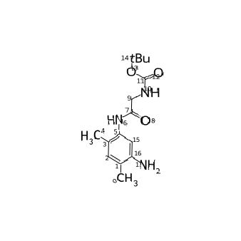 Cc1cc(C)c(NC(=O)CNC(=O)OC(C)(C)C)cc1N